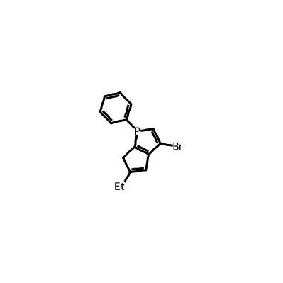 CCC1=Cc2c(Br)cp(-c3ccccc3)c2C1